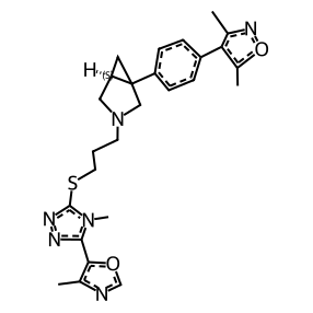 Cc1ncoc1-c1nnc(SCCCN2C[C@H]3CC3(c3ccc(-c4c(C)noc4C)cc3)C2)n1C